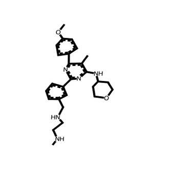 CNCCNCc1cccc(-c2nc(NC3CCOCC3)c(C)c(-c3ccc(OC)cc3)n2)c1